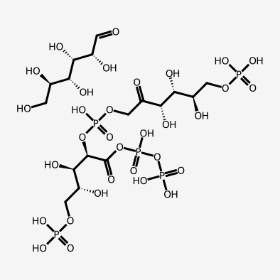 O=C(COP(=O)(O)O[C@@H](C(=O)OP(=O)(O)OP(=O)(O)O)[C@H](O)[C@H](O)COP(=O)(O)O)[C@@H](O)[C@H](O)[C@H](O)COP(=O)(O)O.O=C[C@H](O)[C@@H](O)[C@H](O)[C@H](O)CO